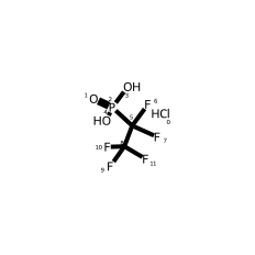 Cl.O=P(O)(O)C(F)(F)C(F)(F)F